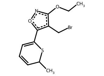 CCOc1noc(C2=CC=CC(C)S2)c1CBr